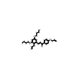 C=CCOc1ccc(C(=O)C=Cc2cc(OCCCC)cc(OCCCC)c2CC=C)cc1